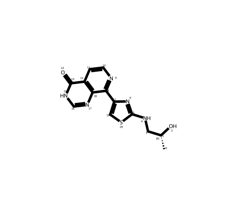 C[C@@H](O)CNc1nc(-c2nccc3c(=O)[nH]cnc23)cs1